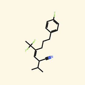 CC(C)C(C#N)/C=C(\CCCc1ccc(F)cc1)C(C)(F)F